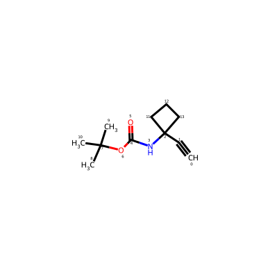 C#CC1(NC(=O)OC(C)(C)C)CCC1